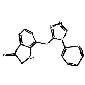 O=C1CNc2c(Oc3nnnn3-c3ccccc3)cccc21